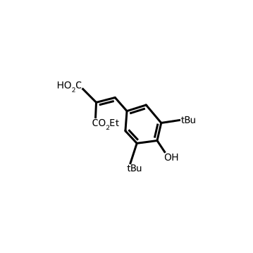 CCOC(=O)/C(=C\c1cc(C(C)(C)C)c(O)c(C(C)(C)C)c1)C(=O)O